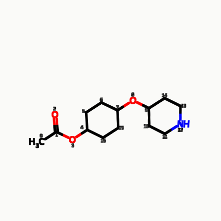 CC(=O)OC1CCC(OC2CCNCC2)CC1